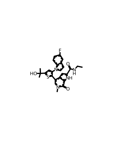 CCNC(=O)c1cc2c(-c3sc(C(C)(C)O)cc3-n3ccc4cc(F)ccc43)cn(C)c(=O)c2[nH]1